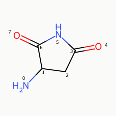 NC1CC(=O)NC1=O